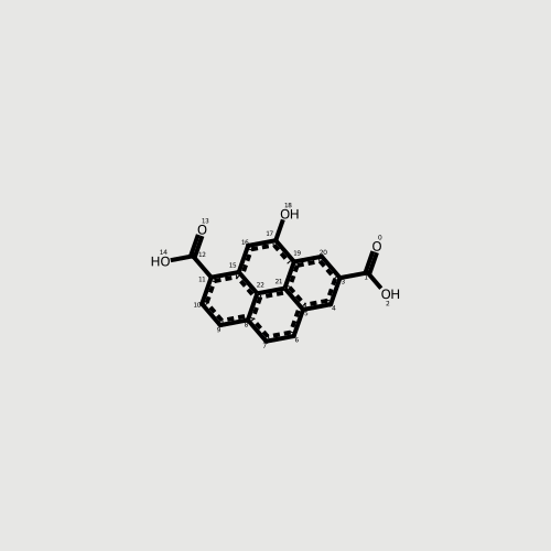 O=C(O)c1cc2ccc3ccc(C(=O)O)c4cc(O)c(c1)c2c34